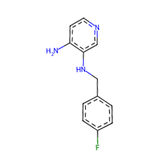 Nc1ccncc1NCc1ccc(F)cc1